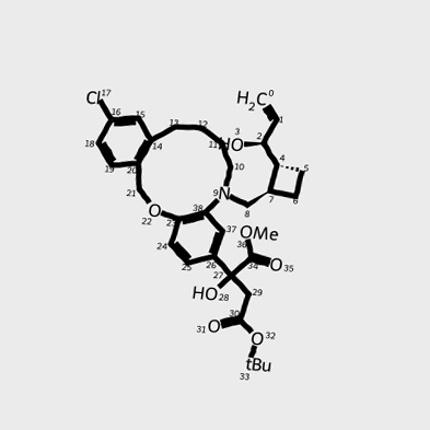 C=C[C@H](O)[C@@H]1CC[C@H]1CN1CCCCc2cc(Cl)ccc2COc2ccc(C(O)(CC(=O)OC(C)(C)C)C(=O)OC)cc21